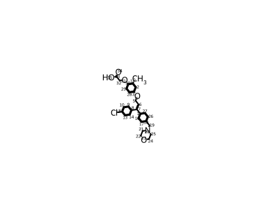 Cc1cc(OC/C=C(\c2ccc(Cl)cc2)c2ccc(CN3CCOCC3)cc2)ccc1OCC(=O)O